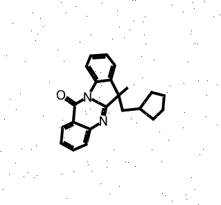 CC1(CC2CCCC2)c2ccccc2-n2c1nc1ccccc1c2=O